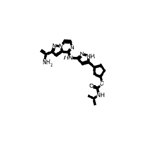 CC(C)NC(=O)OC1CCC(c2cc(Nc3nccn4nc(C(C)N)cc34)n[nH]2)C1